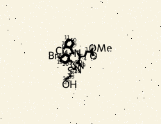 COC(=O)CC[C@@H]1N=C(c2ccccc2Cl)c2cc(Br)ccc2-n2c(SCCO)nnc21